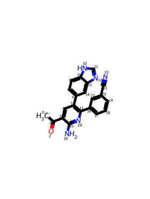 CC(=O)c1cc(-c2ccc3[nH]cnc3c2)c(-c2cccc(C#N)c2)nc1N